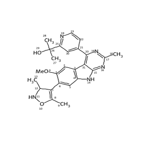 COc1cc2c(cc1C1=C(C)ONC1C)[nH]c1nc(C)nc(-c3ccnc(C(C)(C)O)c3)c12